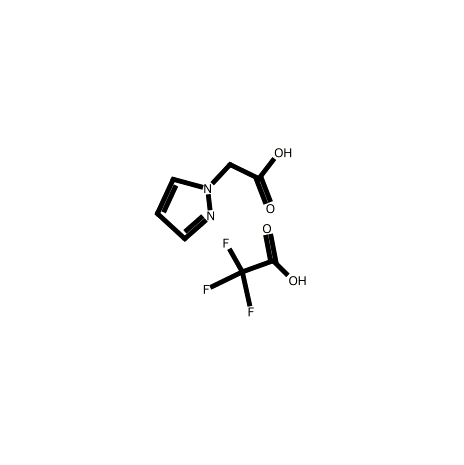 O=C(O)C(F)(F)F.O=C(O)Cn1cccn1